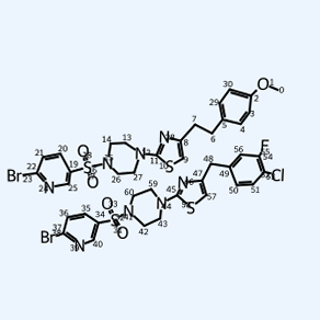 COc1ccc(CCc2csc(N3CCN(S(=O)(=O)c4ccc(Br)nc4)CC3)n2)cc1.O=S(=O)(c1ccc(Br)nc1)N1CCN(c2nc(Cc3ccc(Cl)c(F)c3)cs2)CC1